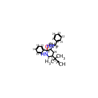 C#CC(C)(C)C1CNC(OC)(c2ccccc2)C(NCc2ccccc2)C1